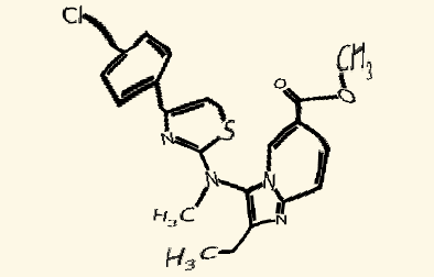 CCc1nc2ccc(C(=O)OC)cn2c1N(C)c1nc(-c2ccc(Cl)cc2)cs1